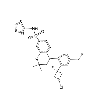 CC1(C)CC(c2ccc(CF)cc2C2(F)CN(Cl)C2)c2ccc(S(=O)(=O)Nc3nccs3)cc2O1